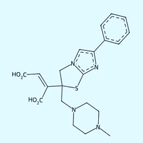 CN1CCN(CC2(C(=CC(=O)O)C(=O)O)Cn3cc(-c4ccccc4)nc3S2)CC1